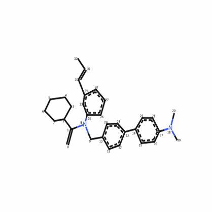 C=C(C1CCCCC1)N(Cc1ccc(-c2ccc(N(C)C)cc2)cc1)c1cccc(/C=C/C)c1